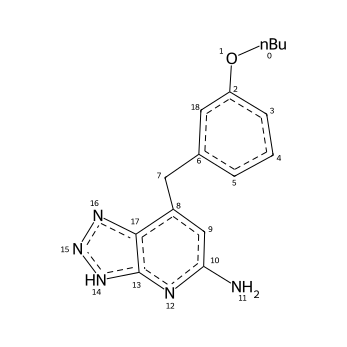 CCCCOc1cccc(Cc2cc(N)nc3[nH]nnc23)c1